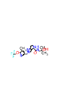 Cc1cc(Cn2cc3c(C(=O)NCC(C)(C)O)nccc3n2)cnc1OCC(F)(F)F